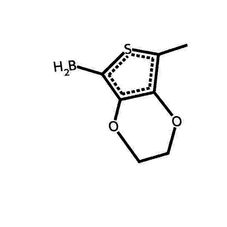 Bc1sc(C)c2c1OCCO2